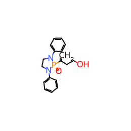 C=C(CCO)P1(=O)N(c2ccccc2)CCN1c1ccccc1